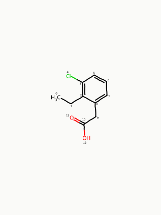 CCc1c(Cl)cccc1CC(=O)O